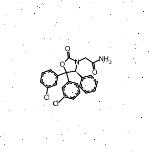 NC(=O)CN1C(=O)OC(c2cccc(Cl)c2)(c2cccc(Cl)c2)[C@@H]1c1ccccc1